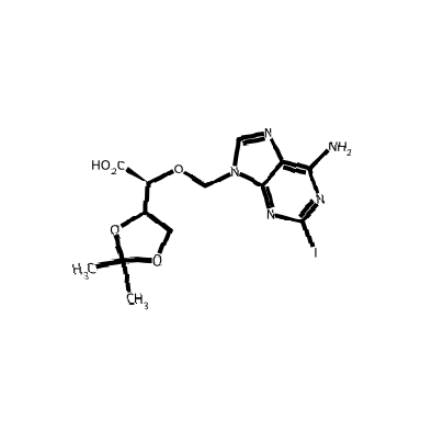 CC1(C)OCC([C@H](OCn2cnc3c(N)nc(I)nc32)C(=O)O)O1